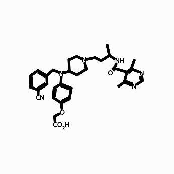 Cc1ncnc(C)c1C(=O)NC(C)CCN1CCC(N(Cc2cccc(C#N)c2)c2ccc(OCC(=O)O)cc2)CC1